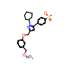 CS(=O)(=O)c1ccc(-c2cc(COc3cccc(CO[N+](=O)[O-])c3)nn2C2CCCCC2)cc1